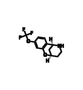 FC(F)(F)Oc1ccc2c(c1)O[C@@H]1CCN[C@H]2C1